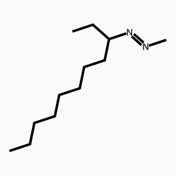 CCCCCCCCC(CC)/N=N/C